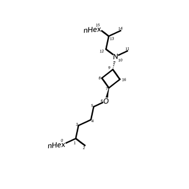 CCCCCCC(C)CCCO[C@H]1C[C@H](N(C)CC(C)CCCCCC)C1